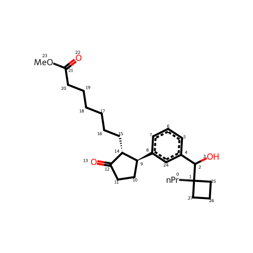 CCCC1(C(O)c2cccc([C@H]3CCC(=O)[C@@H]3CCCCCCC(=O)OC)c2)CCC1